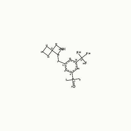 CP(C)(=O)c1cc(CC2NCC23CCC3)cc(C(F)(F)F)c1